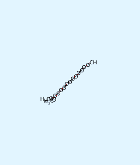 C#CCOCCOCCOCCOCCOCCOCCOCCOCCOCCOCCOCCOCCP(C)(=O)OCC